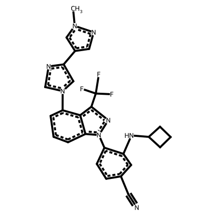 Cn1cc(-c2cn(-c3cccc4c3c(C(F)(F)F)nn4-c3ccc(C#N)cc3NC3CCC3)cn2)cn1